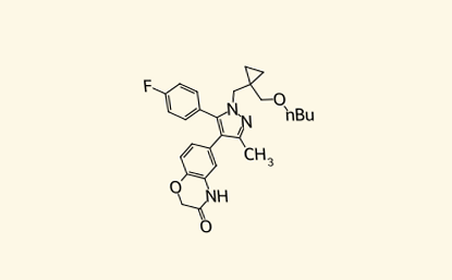 CCCCOCC1(Cn2nc(C)c(-c3ccc4c(c3)NC(=O)CO4)c2-c2ccc(F)cc2)CC1